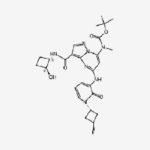 CN(C(=O)OC(C)(C)C)c1cc(Nc2cccn([C@H]3C[C@H](F)C3)c2=O)nc2c(C(=O)N[C@H]3CC[C@@H]3O)cnn12